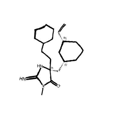 C=C[C@@H]1CCC[C@H](C[C@@]2(CCC3CCCCC3)NC(=N)N(C)C2=O)C1